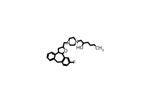 CCCCC(O)CN1CCN(CC2CC3c4ccccc4Cc4ccc(F)cc4C3O2)CC1